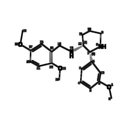 COc1cccc([C@H]2NCCC[C@H]2NCc2cc(OC)ccc2OC)c1